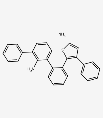 N.Nc1c(-c2ccccc2)cccc1-c1ccccc1-c1sccc1-c1ccccc1